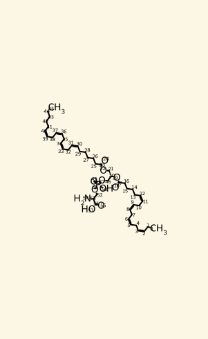 CC/C=C\C/C=C\C/C=C\C/C=C\CCCCC(=O)O[C@H](COC(=O)CCCCC/C=C\C/C=C\C/C=C\C/C=C\CCCCC)COP(=O)(O)OC[C@H](N)C(=O)O